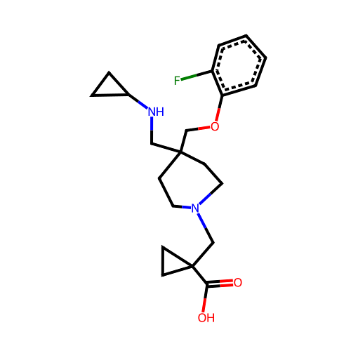 O=C(O)C1(CN2CCC(CNC3CC3)(COc3ccccc3F)CC2)CC1